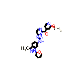 COc1cc(C(=O)c2nccc3nc(Nc4ccc5c(C)nn(C6CCCCO6)c5c4)nn23)ccn1